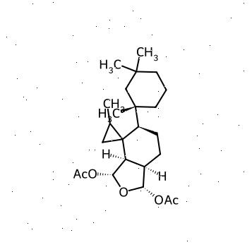 CC(=O)O[C@@H]1O[C@H](OC(C)=O)[C@@H]2[C@H]1CC[C@H]([C@@]1(C)CCCC(C)(C)C1)C21CC1C